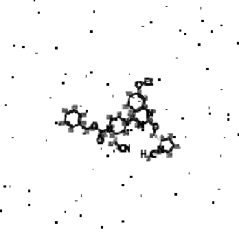 CCOC1=Cc2nc(OC[C@@H]3CCCN3C)nc(N3CCN(C(=O)OCc4ccccc4)[C@@H](CC#N)C3)c2CC1